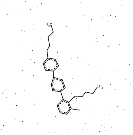 CCCCCc1ccc(-c2ccc(-c3cccc(F)c3CCCCC)cc2)cc1